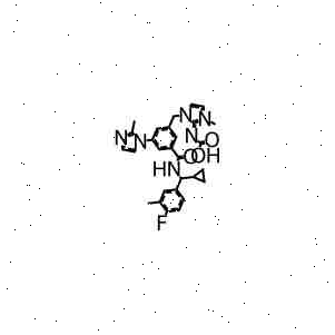 Cc1cc(C(NC(=O)c2cc(Cn3ccn(C)c3=NC(=O)O)cc(-n3ccnc3C)c2)C2CC2)ccc1F